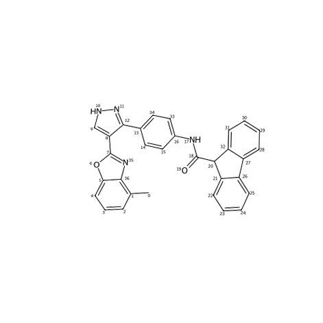 Cc1cccc2oc(-c3c[nH]nc3-c3ccc(NC(=O)C4c5ccccc5-c5ccccc54)cc3)nc12